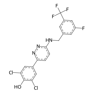 Oc1c(Cl)cc(-c2ccc(NCc3cc(F)cc(C(F)(F)F)c3)nn2)cc1Cl